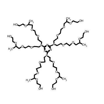 CC(COCCOCCN(CCOCCOCC(C)OCCO)c1nc(N(CCOCCOCC(C)OCCO)CCOCCOCC(C)OCCO)nc(N(CCOCCOCC(C)OCCO)CCOCCOCC(C)OCCO)n1)OCCO